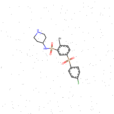 CC(C)c1ccc(S(=O)(=O)c2ccc(F)cc2)cc1S(=O)(=O)NC1CCNCC1